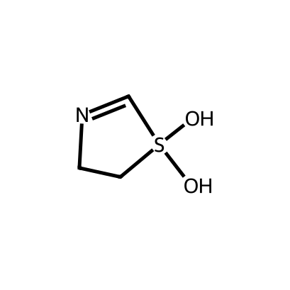 OS1(O)C=NCC1